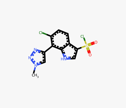 Cn1cc(-c2c(Cl)ccc3c(S(=O)(=O)Cl)c[nH]c23)nn1